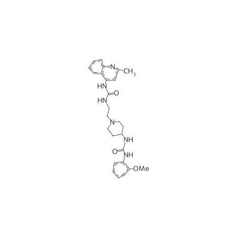 COc1ccccc1NC(=O)NC1CCN(CCNC(=O)Nc2cc(C)nc3ccccc23)CC1